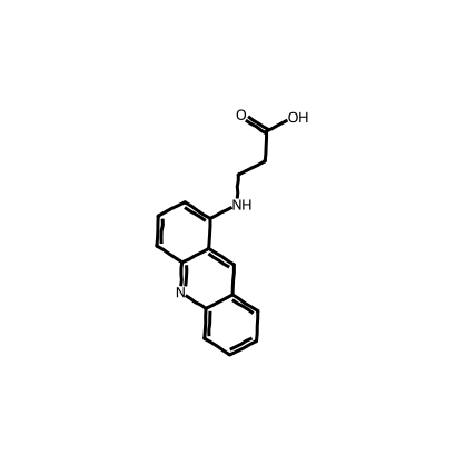 O=C(O)CCNc1cccc2nc3ccccc3cc12